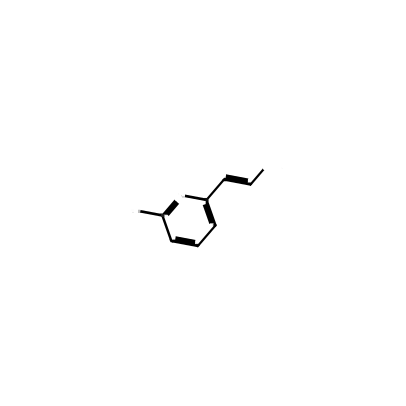 C/C=C/c1cccc(C(C)(C)C)n1